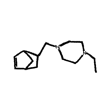 CCN1CCN(CC2CC3C=CC2C3)CC1